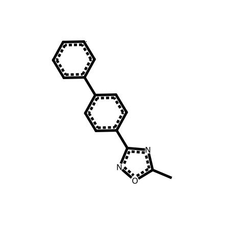 Cc1nc(-c2ccc(-c3c[c]ccc3)cc2)no1